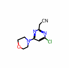 N#CCc1nc(Cl)cc(N2CCOCC2)n1